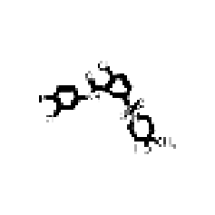 CC1(O)CCN(S(=O)(=O)c2ccc(Cl)c(C(=O)Nc3ccc(F)c(Cl)c3)c2)CC1